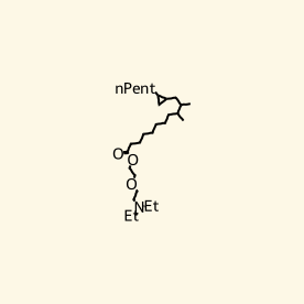 CCCCCC1CC1CC(C)C(C)CCCCCCCC(=O)OCCOCCN(CC)CC